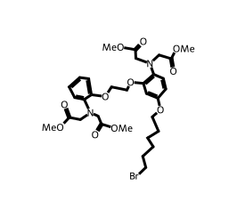 COC(=O)CN(CC(=O)OC)c1ccccc1OCCOc1cc(OCCCCCCBr)ccc1N(CC(=O)OC)CC(=O)OC